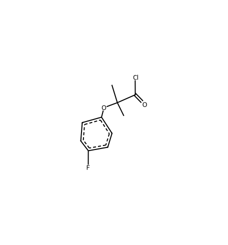 CC(C)(Oc1ccc(F)cc1)C(=O)Cl